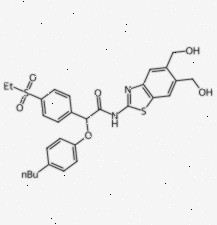 CCCCc1ccc(OC(C(=O)Nc2nc3cc(CO)c(CO)cc3s2)c2ccc(S(=O)(=O)CC)cc2)cc1